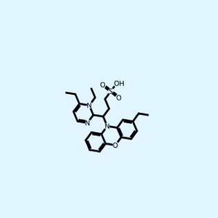 CCC1=CC=NC(C(CCS(=O)(=O)O)N2c3ccccc3Oc3ccc(CC)cc32)N1CC